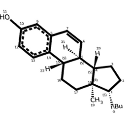 CCCC[C@H]1CC[C@H]2[C@@H]3C=Cc4cc(O)ccc4[C@H]3CC[C@]12C